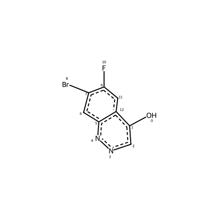 Oc1cnnc2cc(Br)c(F)cc12